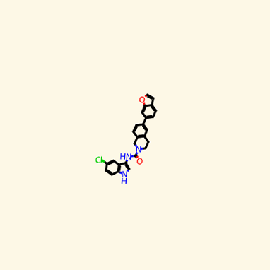 O=C(Nc1c[nH]c2ccc(Cl)cc12)N1CCc2cc(-c3ccc4ccoc4c3)ccc2C1